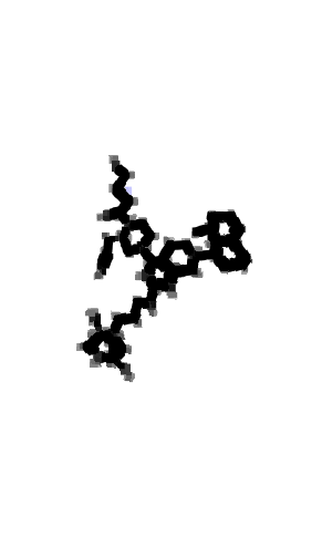 Cc1cccc2cccc(N3CCc4c(nc(OCCCN5C[C@@H]6C[C@H]5CO6)nc4N4CCN(C(=O)/C=C/CF)[C@@H](CC#N)C4)C3)c12